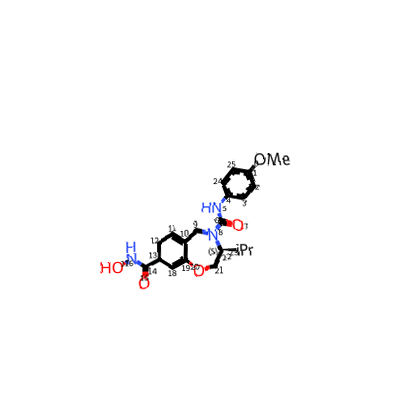 COc1ccc(NC(=O)N2CC3=CCC(C(=O)NO)C=C3OC[C@@H]2C(C)C)cc1